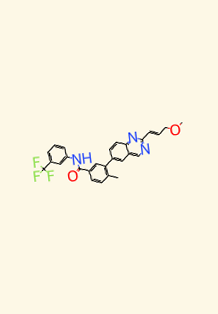 COCC=Cc1ncc2cc(-c3cc(C(=O)Nc4cccc(C(F)(F)F)c4)ccc3C)ccc2n1